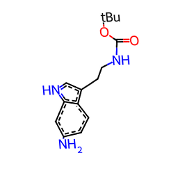 CC(C)(C)OC(=O)NCCc1c[nH]c2cc(N)ccc12